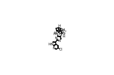 CC1(C)[C@@H]2C[C@H](CO)[C@H](Nc3nc(-c4c[nH]c5ncc(Cl)cc45)ncc3F)[C@@H]1C2